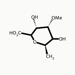 CO[C@@H]1C(O)[C@@H](C)OC(C(=O)O)[C@@H]1O